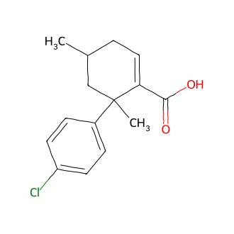 CC1CC=C(C(=O)O)C(C)(c2ccc(Cl)cc2)C1